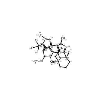 COc1cccc(C(=O)N2[C@@H]3CCC[C@H]2c2nn(C)c(-c4cc(C(F)(F)F)n(C)n4)c2C3)c1C